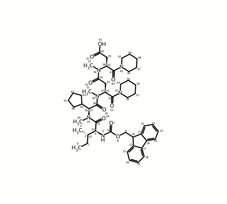 CC[C@H](C)[C@H](NC(=O)OCC1c2ccccc2-c2ccccc21)C(=O)N(C)[C@H](C(=O)N(C)[C@@H](CC(=O)N(C)[C@@H](CC(=O)O)C(=O)N1CCCCC1)C(=O)N1CCCCC1)C1CCCC1